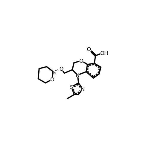 Cc1cnc(N2c3cccc(C(=O)O)c3OCC2CO[C@H]2CCCCO2)s1